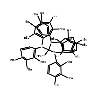 CCCCCC(P(c1ccc(CCCC)c(CCCC)c1CCCC)c1ccc(CCCC)c(CCCC)c1CCCC)(P(c1ccc(CCCC)c(CCCC)c1CCCC)c1ccc(CCCC)c(CCCC)c1CCCC)P(c1ccc(CCCC)c(CCCC)c1CCCC)c1ccc(CCCC)c(CCCC)c1CCCC